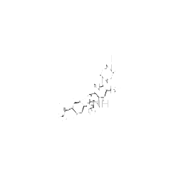 Cc1nc(N2CCNCC2)c(Br)cc1NS(=O)(=O)c1ccc([C@H](C)CF)cc1